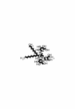 CCCCCCCCCC(CCCCCCCCC)C(=O)NC(COC(OC(CO)[C@H](C)O)C(O)O)(COC1OC(CO)C(O)C(O)C1O)COC1OC(CO)C(O)C(O)C1O